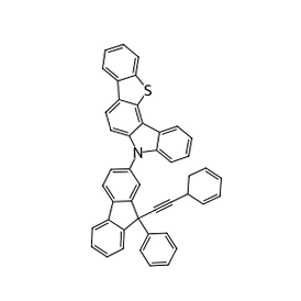 C(#CC1(c2ccccc2)c2ccccc2-c2ccc(-n3c4ccccc4c4c5sc6ccccc6c5ccc43)cc21)C1C=CC=CC1